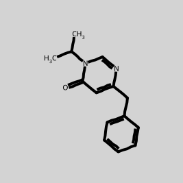 CC(C)n1cnc(Cc2ccccc2)cc1=O